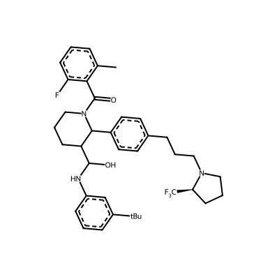 Cc1cccc(F)c1C(=O)N1CCCC(C(O)Nc2cccc(C(C)(C)C)c2)C1c1ccc(CCCN2CCC[C@H]2C(F)(F)F)cc1